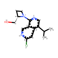 CC(C)c1cnc(N2CC[C@H]2CO)c2cnc(Cl)cc12